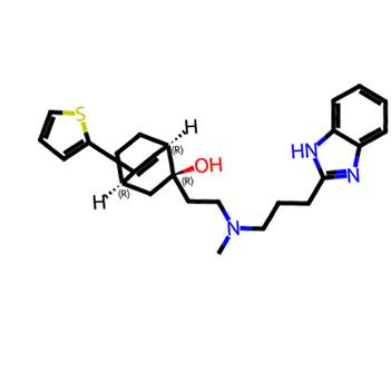 CN(CCCc1nc2ccccc2[nH]1)CC[C@]1(O)C[C@H]2CC[C@@H]1C=C2c1cccs1